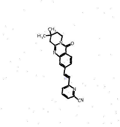 CC1(C)CCn2c(nc3cc(/C=C/c4cccc(C#N)n4)ccc3c2=O)C1